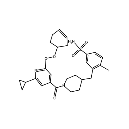 NS(=O)(=O)c1ccc(F)c(CC2CCN(C(=O)c3cc(OOC4CC=CCC4)nc(C4CC4)c3)CC2)c1